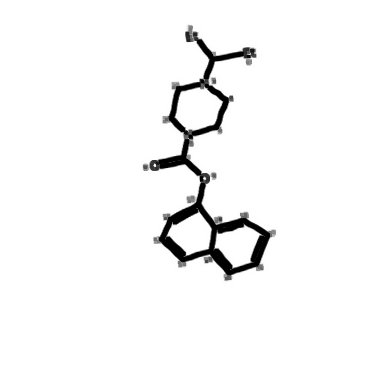 CCC(CC)N1CCN(C(=O)Oc2cccc3ccccc23)CC1